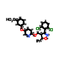 CC(C)C1ON=C(c2c(Cl)cccc2Cl)C1COc1ccc(Oc2cccc(C(=O)O)c2)cn1